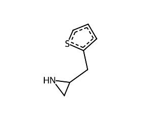 c1csc(CC2CN2)c1